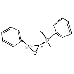 C[Si](C)(c1ccccc1)[C@H]1O[C@H]1c1ccccc1